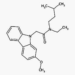 CCN(CCC(C)C)C(=O)Cn1c2ccccc2c2ccc(OC)cc21